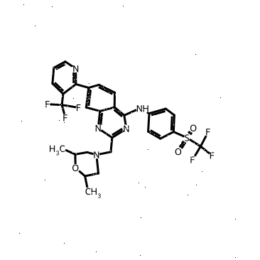 CC1CN(Cc2nc(Nc3ccc(S(=O)(=O)C(F)(F)F)cc3)c3ccc(-c4ncccc4C(F)(F)F)cc3n2)CC(C)O1